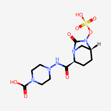 O=C(NN1CCN(C(=O)O)CC1)[C@@H]1CC[C@@H]2CN1C(=O)N2OS(=O)(=O)O